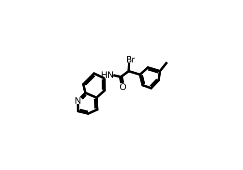 Cc1cccc(C(Br)C(=O)Nc2ccc3ncccc3c2)c1